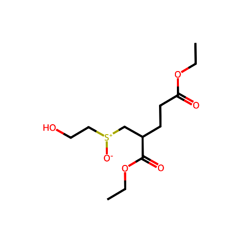 CCOC(=O)CCC(C[S+]([O-])CCO)C(=O)OCC